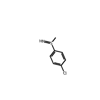 CS(=N)c1ccc(Cl)cc1